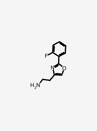 NCCc1coc(-c2ccccc2F)n1